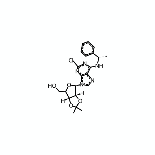 C[C@H](Nc1nc(Cl)nc2c1ncn2[C@@H]1O[C@H](CO)[C@H]2OC(C)(C)O[C@H]21)c1ccccc1